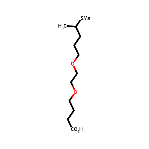 CSC(C)CCCOCCOCCCC(=O)O